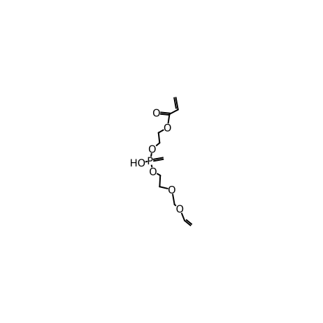 C=COCOCCOP(=C)(O)OCCOC(=O)C=C